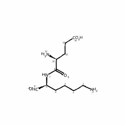 NCCCC[C@@H]([C]=O)NC(=O)[C@@H](N)CCC(=O)O